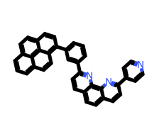 c1cc(-c2ccc3ccc4ccc(-c5ccncc5)nc4c3n2)cc(-c2ccc3ccc4cccc5ccc2c3c45)c1